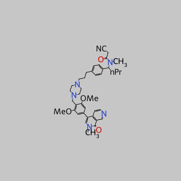 CCCC(c1ccc(CCCN2CCN(Cc3c(OC)cc(-c4cn(C)c(=O)c5cnccc45)cc3OC)CC2)cc1)N(C)C(=O)CC#N